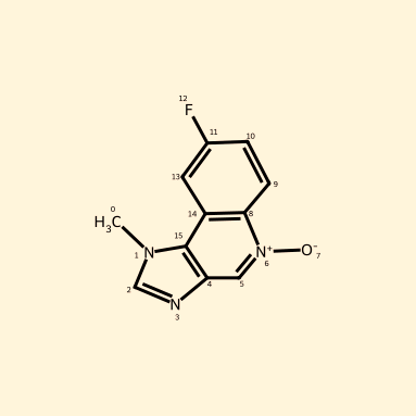 Cn1cnc2c[n+]([O-])c3ccc(F)cc3c21